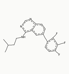 CC(C)CCNc1ncnc2ccc(-c3ccc(F)c(F)c3F)cc12